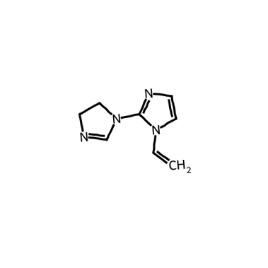 C=Cn1ccnc1N1C=NCC1